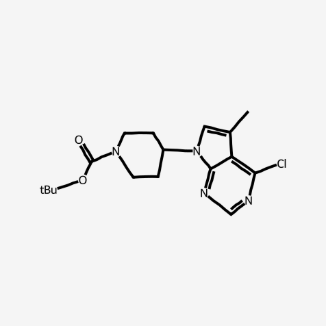 Cc1cn(C2CCN(C(=O)OC(C)(C)C)CC2)c2ncnc(Cl)c12